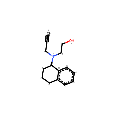 C#CCN(CCO)C1CCCc2ccccc21